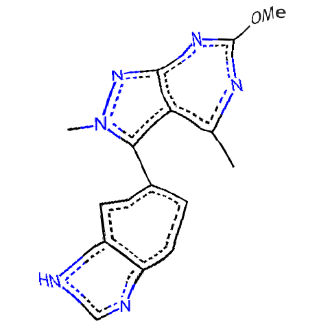 COc1nc(C)c2c(-c3ccc4nc[nH]c4c3)n(C)nc2n1